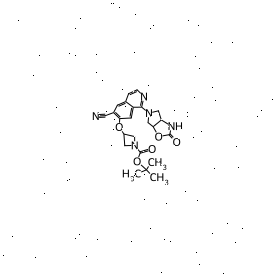 CC(C)(C)OC(=O)N1CC(Oc2cc3c(N4CC5NC(=O)OC5C4)nccc3cc2C#N)C1